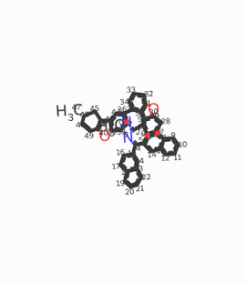 C/N=C(\N=C(c1ccc2ccccc2c1)c1ccc2ccccc2c1)c1cccc2oc3cccc(-c4ccc5oc6c(c5c4)CC(C)C=C6)c3c12